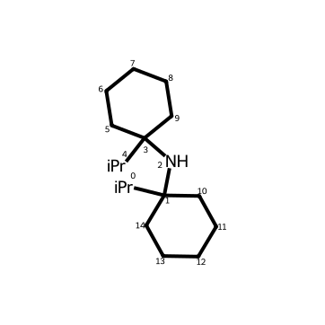 CC(C)C1(NC2(C(C)C)CCCCC2)CCCCC1